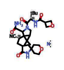 CC(C)(C)[C@H](NC(=O)C1COC1)C(=O)N1CC2C(C)(C)C2([C@@H](C#N)CC2CC3(CCOCC3)NC2=O)C1C(N)=O.[N]